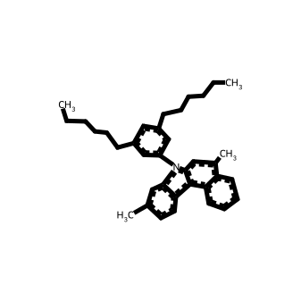 CCCCCCc1cc(CCCCCC)cc(-n2c3cc(C)ccc3c3c4ccccc4c(C)cc32)c1